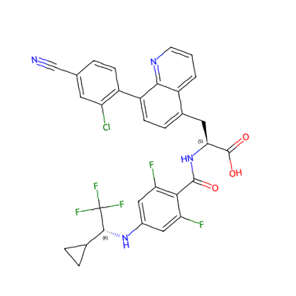 N#Cc1ccc(-c2ccc(C[C@H](NC(=O)c3c(F)cc(N[C@H](C4CC4)C(F)(F)F)cc3F)C(=O)O)c3cccnc23)c(Cl)c1